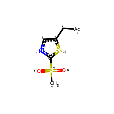 CC(=O)Cc1cnc(S(C)(=O)=O)s1